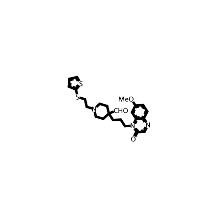 COc1ccc2ncc(=O)n(CCCC3(C=O)CCN(CCSc4cccs4)CC3)c2c1